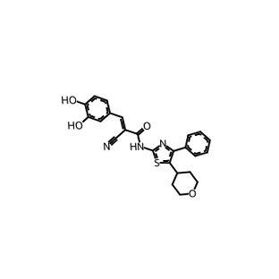 N#C/C(=C\c1ccc(O)c(O)c1)C(=O)Nc1nc(-c2ccccc2)c(C2CCOCC2)s1